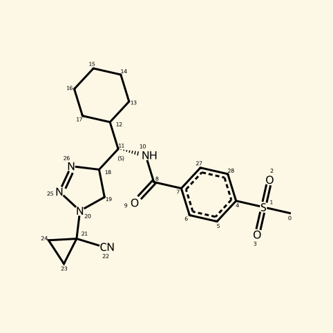 CS(=O)(=O)c1ccc(C(=O)N[C@@H](C2CCCCC2)C2CN(C3(C#N)CC3)N=N2)cc1